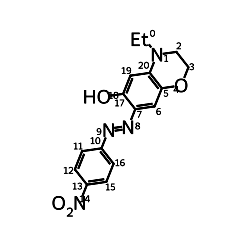 CCN1CCOc2cc(N=Nc3ccc([N+](=O)[O-])cc3)c(O)cc21